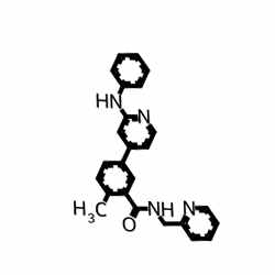 Cc1ccc(-c2ccnc(Nc3ccccc3)c2)cc1C(=O)NCc1ccccn1